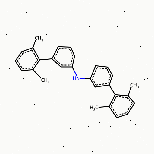 Cc1cccc(C)c1-c1cccc(Nc2cccc(-c3c(C)cccc3C)c2)c1